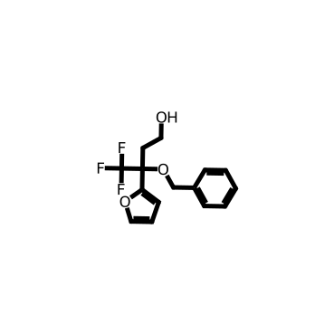 OCCC(OCc1ccccc1)(c1ccco1)C(F)(F)F